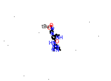 Cc1cn2cc(NC(=O)c3ccc(N4CCC(N(C)C(=O)OC(C)(C)C)C4)c4cc(C)[nH]c34)nc(N(C)C)c2n1